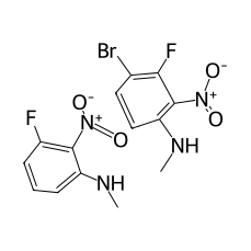 CNc1ccc(Br)c(F)c1[N+](=O)[O-].CNc1cccc(F)c1[N+](=O)[O-]